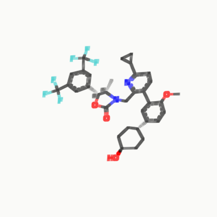 COc1ccc([C@H]2CC[C@H](O)CC2)cc1-c1ccc(C2CC2)nc1CN1C(=O)O[C@H](c2cc(C(F)(F)F)cc(C(F)(F)F)c2)[C@@H]1C